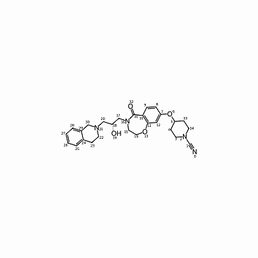 N#CN1CCC(Oc2ccc3c(c2)OCCN(C[C@H](O)CN2CCc4ccccc4C2)C3=O)CC1